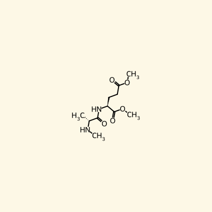 CN[C@H](C)C(=O)N[C@@H](CCC(=O)OC)C(=O)OC